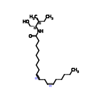 CCCCC/C=C\C/C=C\CCCCCCCC(=O)N[C@H](CO)[C@@H](C)CC